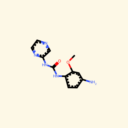 COc1cc(N)ccc1NC(=O)Nc1cnccn1